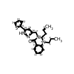 C=CCCN(CCC)c1ccccc1C(=O)NCc1cc(-c2cccs2)[nH]n1